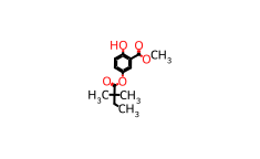 CCC(C)(C)C(=O)Oc1ccc(O)c(C(=O)OC)c1